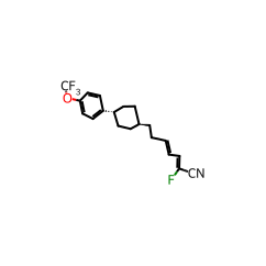 N#CC(F)=CC=CCC[C@H]1CC[C@H](c2ccc(OC(F)(F)F)cc2)CC1